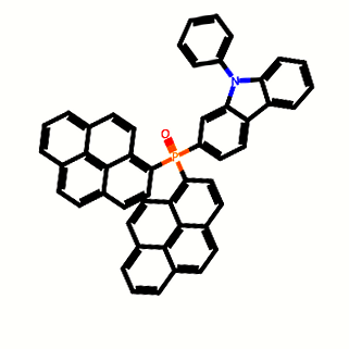 O=P(c1ccc2c3ccccc3n(-c3ccccc3)c2c1)(c1ccc2ccc3cccc4ccc1c2c34)c1ccc2ccc3cccc4ccc1c2c34